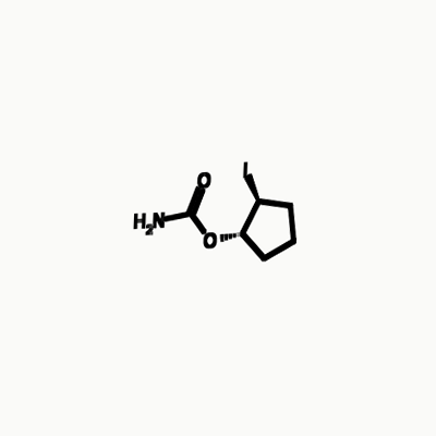 NC(=O)O[C@H]1CCC[C@@H]1I